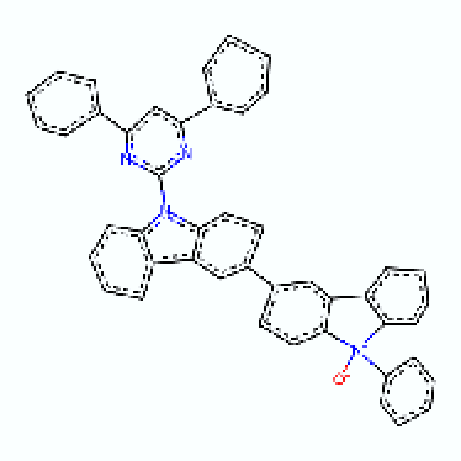 [O-][N+]1(c2ccccc2)c2ccccc2-c2cc(-c3ccc4c(c3)c3ccccc3n4-c3nc(-c4ccccc4)cc(-c4ccccc4)n3)ccc21